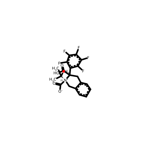 CC(C)(C)[N@@+]1(C(=O)[O-])Cc2ccccc2CC1(C(=O)O)c1c(F)c(F)c(F)c(F)c1F